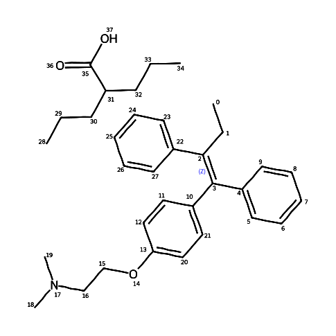 CC/C(=C(\c1ccccc1)c1ccc(OCCN(C)C)cc1)c1ccccc1.CCCC(CCC)C(=O)O